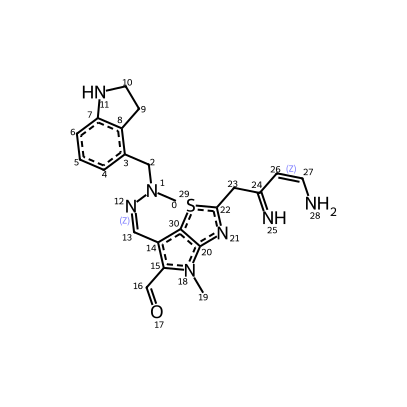 CN(Cc1cccc2c1CCN2)/N=C\c1c(C=O)n(C)c2nc(CC(=N)/C=C\N)sc12